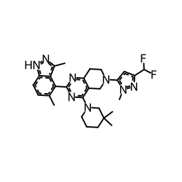 Cc1ccc2[nH]nc(C)c2c1-c1nc2c(c(N3CCCC(C)(C)C3)n1)CN(c1cc(C(F)F)nn1C)CC2